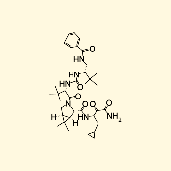 CC(C)(C)[C@H](NC(=O)N[C@H](CNC(=O)c1ccccc1)C(C)(C)C)C(=O)N1C[C@H]2[C@@H]([C@H]1C(=O)NC(CC1CC1)C(=O)C(N)=O)C2(C)C